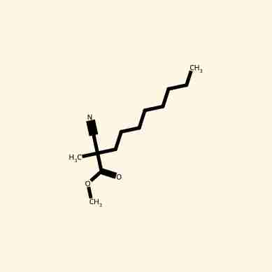 CCCCCCCCC(C)(C#N)C(=O)OC